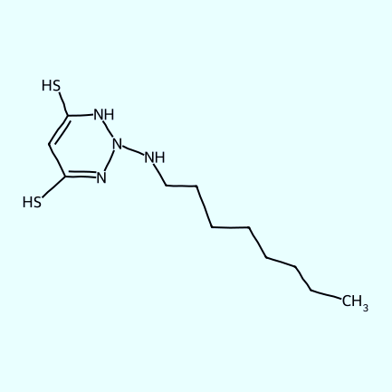 CCCCCCCCNN1N=C(S)C=C(S)N1